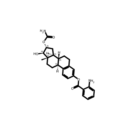 C[C@]12CC[C@@H]3c4ccc(OC(=O)c5ccccc5N)cc4CC[C@H]3[C@@H]1C[C@@H](OC(N)=O)[C@@H]2O